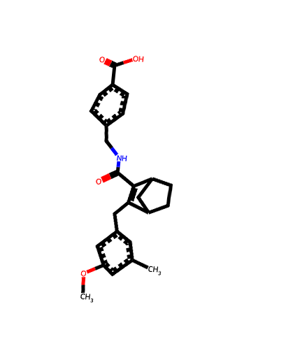 COc1cc(C)cc(CC2=C(C(=O)NCc3ccc(C(=O)O)cc3)C3CCC2C3)c1